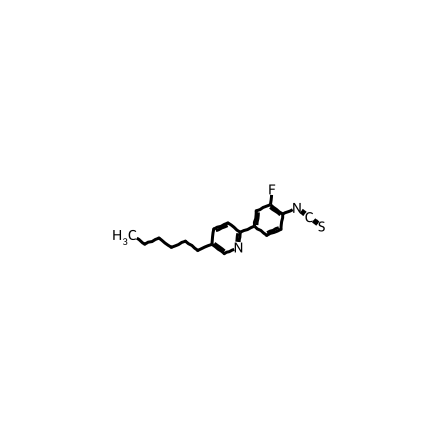 CCCCCCc1ccc(-c2ccc(N=C=S)c(F)c2)nc1